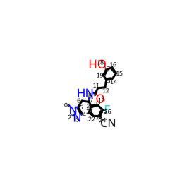 Cn1cncc1CC(NC(=O)CCc1cccc(O)c1)c1ccc(C#N)c(F)c1